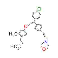 Cc1cc(OC/C=C(/c2ccc(Cl)cc2)c2ccc(C#CCN3CCOCC3)cc2)ccc1CCC(=O)O